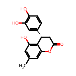 Cc1cc(O)c2c(c1)OC(=O)C[C@H]2c1ccc(O)c(O)c1